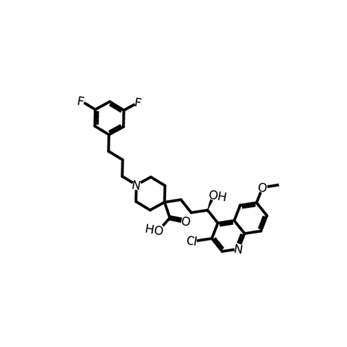 COc1ccc2ncc(Cl)c([C@H](O)CCC3(C(=O)O)CCN(CCCc4cc(F)cc(F)c4)CC3)c2c1